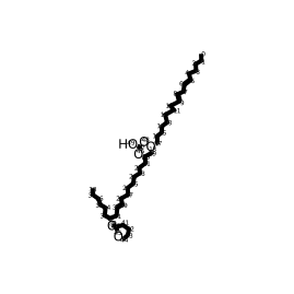 CCCCCC=CCC=CCCCCCCCCOCC(CCCCCCCCC=CCC(CCCCCC)OC1CCCCO1)OC(=O)O